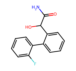 NC(=O)C(O)c1ccccc1-c1ccccc1F